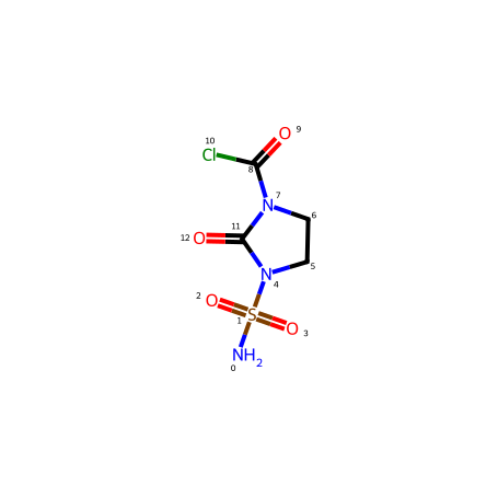 NS(=O)(=O)N1CCN(C(=O)Cl)C1=O